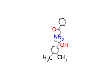 Cc1ccc(C(O)(CN)CCCC(=O)c2ccccc2)cc1C